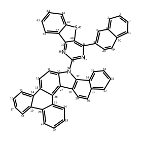 c1ccc2cc(-c3nc(-n4c5ccc6c7ccccc7c7ccccc7c6c5c5ccc6ccccc6c54)nc4c3sc3ccccc34)ccc2c1